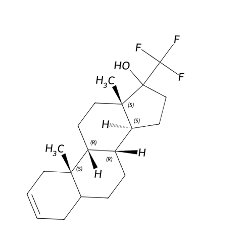 C[C@]12CC=CCC1CC[C@@H]1[C@H]2CC[C@@]2(C)[C@H]1CCC2(O)C(F)(F)F